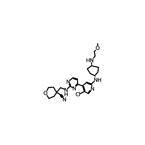 COCCN[C@H]1CC[C@H](Nc2cc(-c3ccnc(NCC4(C#N)CCOCC4)n3)c(Cl)cn2)CC1